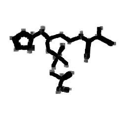 C=C(C)C(=O)OCCC(C[N+](C)(C)C)Oc1ccc[pH]1.C=C(C)C(=O)[O-]